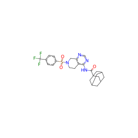 O=C(Nc1ncnc2c1CCN(S(=O)(=O)c1ccc(C(F)(F)F)cc1)C2)C12CC3CC(CC(C3)C1)C2